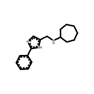 c1ccc(-c2ncc(CNC3CCCCCC3)[nH]2)cc1